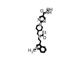 CCC(=O)N(CCc1cn(C)c2ccccc12)CC1CCN(c2ncc(C(=O)NO)cn2)CC1